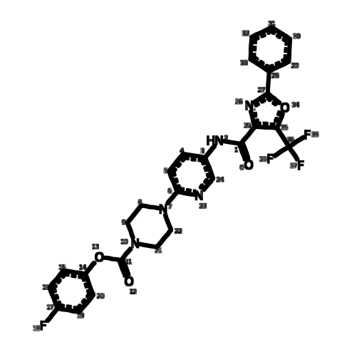 O=C(Nc1ccc(N2CCN(C(=O)Oc3ccc(F)cc3)CC2)nc1)c1nc(-c2ccccc2)oc1C(F)(F)F